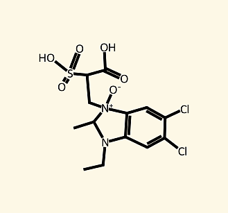 CCN1c2cc(Cl)c(Cl)cc2[N+]([O-])(CC(C(=O)O)S(=O)(=O)O)C1C